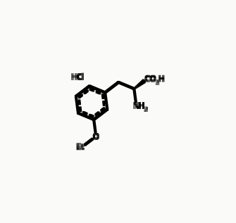 CCOc1cccc(C[C@H](N)C(=O)O)c1.Cl